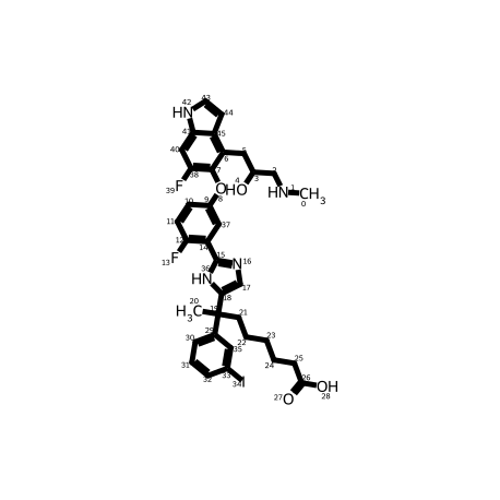 CNCC(O)Cc1c(Oc2ccc(F)c(-c3ncc(C(C)(CCCCCC(=O)O)c4cccc(I)c4)[nH]3)c2)c(F)cc2[nH]ccc12